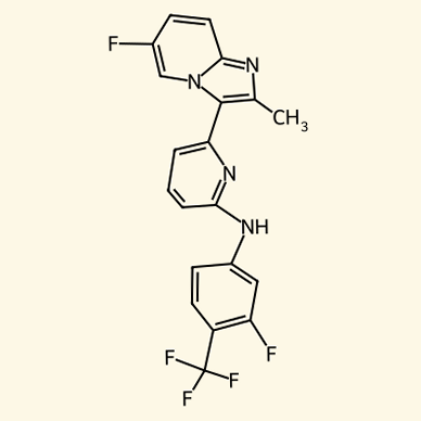 Cc1nc2ccc(F)cn2c1-c1cccc(Nc2ccc(C(F)(F)F)c(F)c2)n1